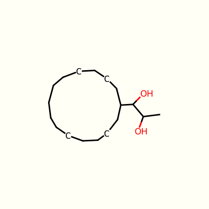 CC(O)C(O)C1CCCCCCCCCCCCCC1